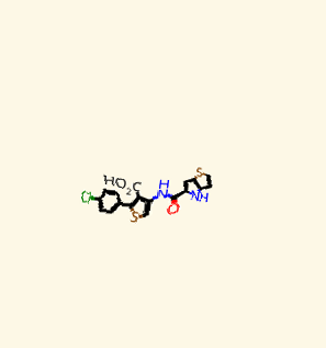 O=C(Nc1csc(-c2ccc(Cl)cc2)c1C(=O)O)c1cc2sccc2[nH]1